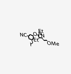 CCc1c(/C=C/OC)nn(CC)c1Oc1cc(C#N)cc(CI)c1